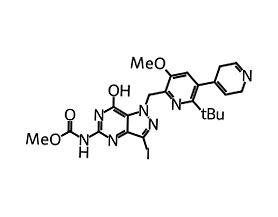 COC(=O)Nc1nc(O)c2c(n1)c(I)nn2Cc1nc(C(C)(C)C)c(C2=CCN=CC2)cc1OC